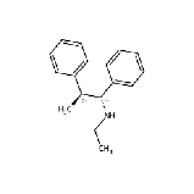 CCN[C@@H](c1ccccc1)[C@@H](C)c1ccccc1